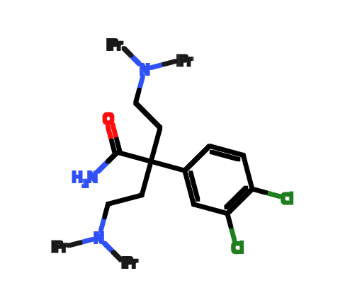 CC(C)N(CCC(CCN(C(C)C)C(C)C)(C(N)=O)c1ccc(Cl)c(Cl)c1)C(C)C